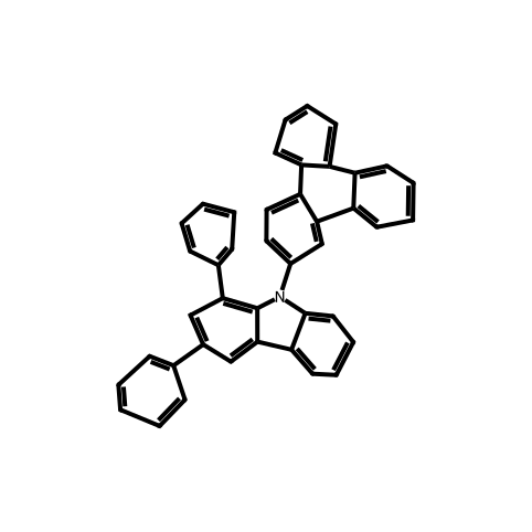 c1ccc(-c2cc(-c3ccccc3)c3c(c2)c2ccccc2n3-c2ccc3c4ccccc4c4ccccc4c3c2)cc1